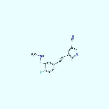 CNCc1cc(C#Cc2cncc(C#N)c2)ccc1F